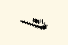 CCCCCCCCCCCCCCCCN1CCC(C)C1.N#CN.N#CN